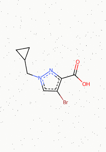 O=C(O)c1nn(CC2CC2)cc1Br